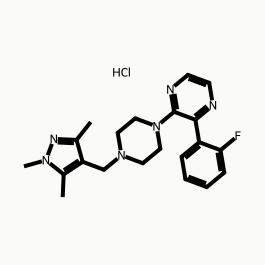 Cc1nn(C)c(C)c1CN1CCN(c2nccnc2-c2ccccc2F)CC1.Cl